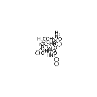 CC(C)(O)c1cnnn1[C@H]1C[C@@H](C(=O)NC2(C(=O)C(N)=O)CCCCC2)N(C(=O)[C@@H](CNC(=O)OCc2ccccc2)NC(=O)c2ccc3ccccc3c2)C1